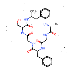 CC[C@H](C)[C@H](N)C(=O)NCC(=O)N[C@@H](Cc1ccccc1)C(=O)NCC(=O)N[C@@H](CO)C(=O)N[C@@H](Cc1ccccc1)C(=O)O